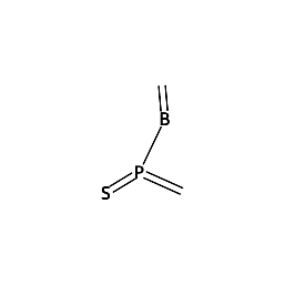 C=BP(=C)=S